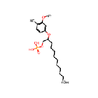 CCCCCCCCCCCCCCCCCCCC(COP(=O)(O)O)Oc1ccc(C#N)c(OC(C)C)c1